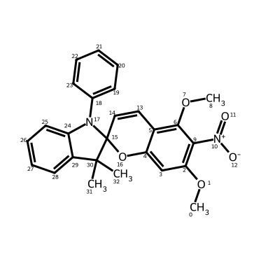 COc1cc2c(c(OC)c1[N+](=O)[O-])C=CC1(O2)N(c2ccccc2)c2ccccc2C1(C)C